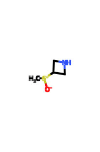 C[S+]([O-])C1CNC1